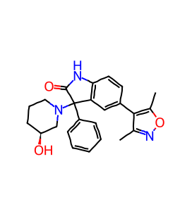 Cc1noc(C)c1-c1ccc2c(c1)C(c1ccccc1)(N1CCC[C@H](O)C1)C(=O)N2